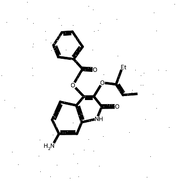 CC=C(CC)Oc1c(OC(=O)c2ccccc2)c2ccc(N)cc2[nH]c1=O